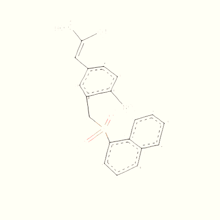 CC(=Cc1ccc([N+](=O)[O-])c(CS(=O)(=O)c2cccc3ccccc23)c1)C(=O)O